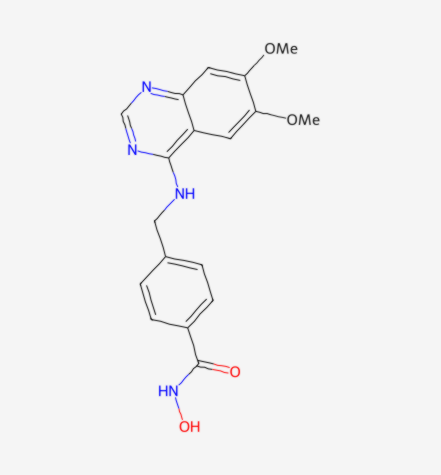 COc1cc2ncnc(NCc3ccc(C(=O)NO)cc3)c2cc1OC